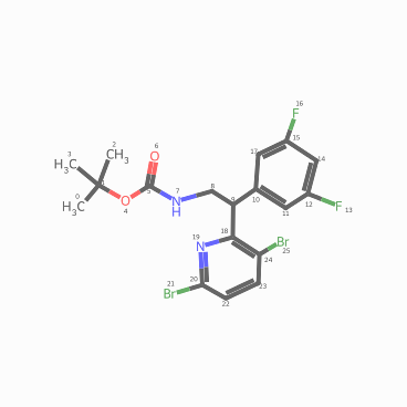 CC(C)(C)OC(=O)NCC(c1cc(F)cc(F)c1)c1nc(Br)ccc1Br